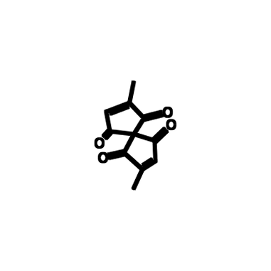 CC1=CC(=O)C2(C(=O)C=C(C)C2=O)C1=O